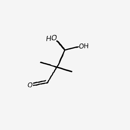 CC(C)(C=O)C(O)O